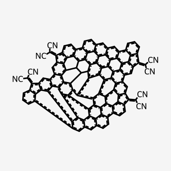 N#CC(C#N)=c1c2cc3c4cc5c(=C(C#N)C#N)c6cccc7c8cc9cc%10ccc%11c%12ccc%13c(=C(C#N)C#N)c%14cc%15c%16cc%17c(=C(C#N)C#N)c%18cccc%19c%20cc%21cc%22ccc%23c%24ccc1c1c2c2c3c3c%25c%26c%27c%28c%29c%30c(c(c%241)C2C%25%29)c%23c%22c1c%21c2c%20c(c%17c%18%19)c%16c%16c%17c%15c%15c%14c%13c%12c%12c%13c%11c%10c%10c9c9c8c(c5c67)c4c3c9c%26c%10c%13c%27c(c%17c%28c(c%301)c2%16)c%15%12